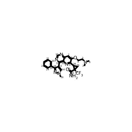 CN(C)CCOc1cc2ncnc(-c3cn(C)nc3-c3ccccc3)c2nc1C1CC1(C(N)=O)C(F)(F)F